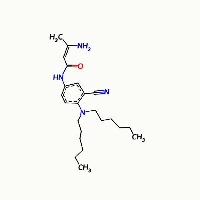 CCCCCCN(CCCCCC)c1ccc(NC(=O)C=C(C)N)cc1C#N